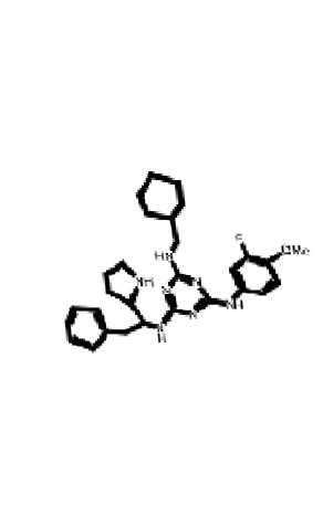 COc1ccc(Nc2nc(NCC3CCCCC3)nc(NC(Cc3ccccc3)C3CCCN3)n2)cc1F